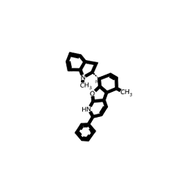 CC1C=C[C@@H](C2CC3C=CC=CC3N2C)C2OC3NC(c4ccccc4)C=CC3C12